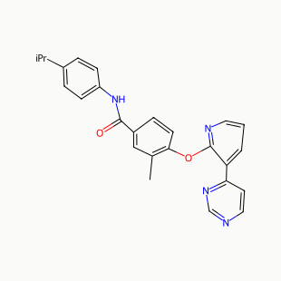 Cc1cc(C(=O)Nc2ccc(C(C)C)cc2)ccc1Oc1ncccc1-c1ccncn1